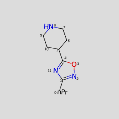 CCCc1noc(C2CCNCC2)n1